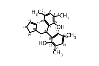 Cc1cc(C)c(O)c(C(CC2C=CCC2)c2cc(C)cc(C)c2O)c1